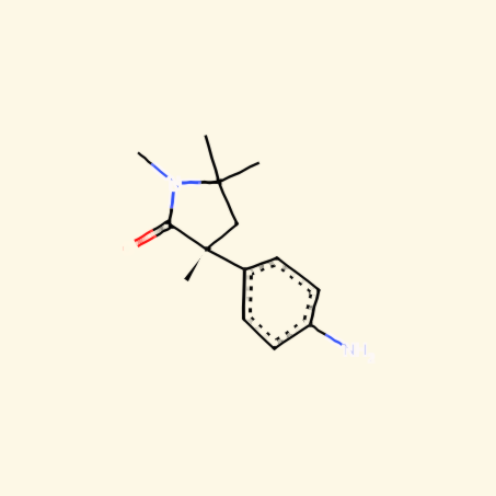 CN1C(=O)[C@@](C)(c2ccc(N)cc2)CC1(C)C